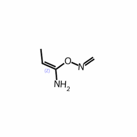 C=NO/C(N)=C\C